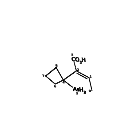 C/C=C(/C(=O)O)C1([AsH2])CCC1